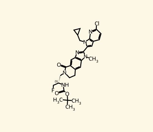 Cn1c(-c2cc3ccc(Cl)nc3n2CC2CC2)nc2cc3c(cc21)CCN(C[C@@H](CF)NC(=O)OC(C)(C)C)C3=O